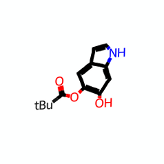 CC(C)(C)C(=O)Oc1cc2cc[nH]c2cc1O